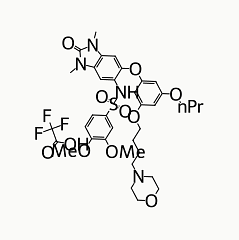 CCCOc1cc(OCCCCN2CCOCC2)cc(Oc2cc3c(cc2NS(=O)(=O)c2ccc(OC)c(OC)c2)n(C)c(=O)n3C)c1.O=C(O)C(F)(F)F